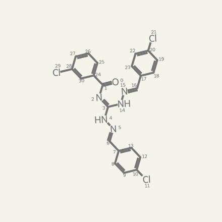 O=C(N=C(N/N=C/c1ccc(Cl)cc1)N/N=C/c1ccc(Cl)cc1)c1cccc(Cl)c1